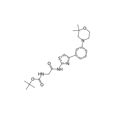 CC(C)(C)OC(=O)NCC(=O)Nc1nc(-c2cccc(N3CCOC(C)(C)C3)c2)cs1